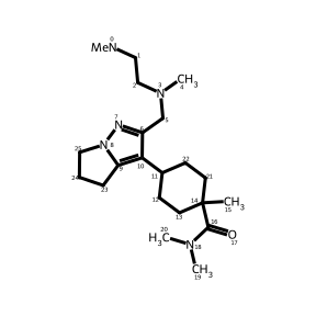 CNCCN(C)Cc1nn2c(c1C1CCC(C)(C(=O)N(C)C)CC1)CCC2